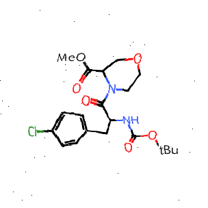 COC(=O)C1COCCN1C(=O)C(Cc1ccc(Cl)cc1)NC(=O)OC(C)(C)C